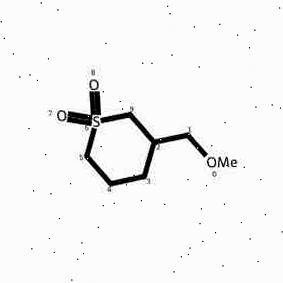 COCC1CCCS(=O)(=O)C1